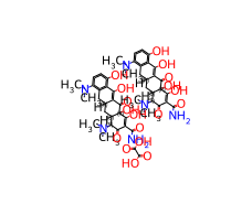 CN(C)c1ccc(O)c2c1C[C@H]1C[C@H]3[C@H](N(C)C)C(=O)C(C(N)=O)=C(O)[C@@]3(O)C(=O)C1=C2O.CN(C)c1ccc(O)c2c1C[C@H]1C[C@H]3[C@H](N(C)C)C(=O)C(C(N)=O)=C(O)[C@@]3(O)C(=O)C1=C2O.O=C(O)C(=O)O